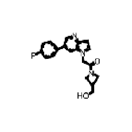 O=C(Cn1ccc2ncc(-c3ccc(F)cc3)cc21)N1CC(CO)C1